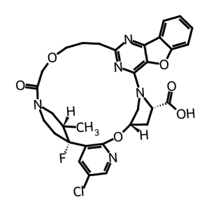 C[C@H]1CN2CC[C@]1(F)c1cc(Cl)cnc1O[C@H]1C[C@@H](C(=O)O)N(C1)c1nc(nc3c1oc1ccccc13)CCCOCC2=O